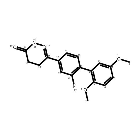 COc1ccc(OC)c(-c2ccc(C3=NNC(=O)CC3)cc2F)c1